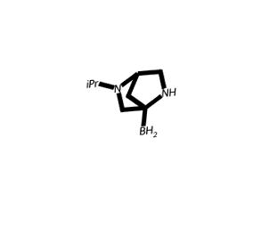 BC12CC(CN1)N(C(C)C)C2